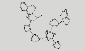 Cc1ccc2ccc3c(C)cc(-c4cccc(-c5cccc(-c6nc(-c7ccccc7)nc(-c7cccc(-c8cccc9cnccc89)c7)n6)c5)c4)nc3c2n1